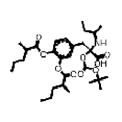 CCCC(C)C(=O)Oc1ccc(C[C@](NC(C)CC)(OC(=O)OC(C)(C)C)C(=O)O)cc1OC(=O)C(C)CCC